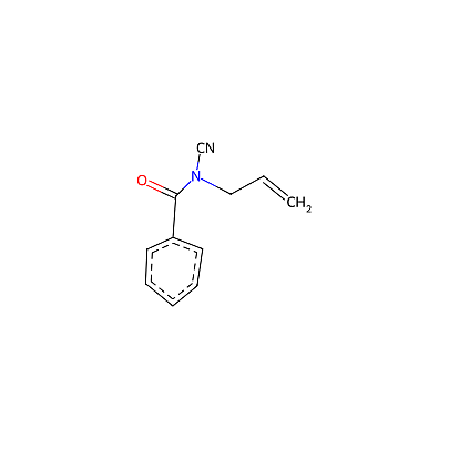 C=CCN(C#N)C(=O)c1ccccc1